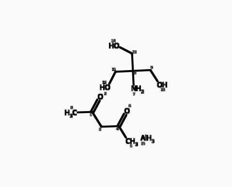 CC(=O)CC(C)=O.NC(CO)(CO)CO.[AlH3]